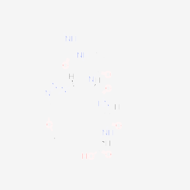 CN[C@@H](C)C(=O)NCC1(C(=O)N2C[C@@H]3C[C@H]2C(=O)N[C@@H](Cc2ccccc2)C(=O)N[C@H](C(=O)O)Cc2ccc(cc2)OCc2cn3nn2)CC1